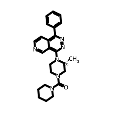 C[C@@H]1CN(C(=O)N2CCCCC2)CCN1c1nnc(-c2ccccc2)c2ccncc12